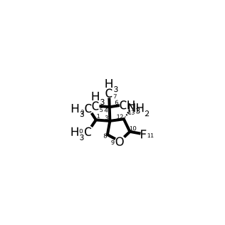 CC(C)C1(C(C)(C)C)COC(F)[C@H]1N